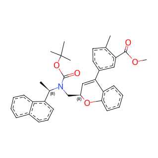 COC(=O)c1cc(C2=C[C@H](CN(C(=O)OC(C)(C)C)[C@H](C)c3cccc4ccccc34)Oc3ccccc32)ccc1C